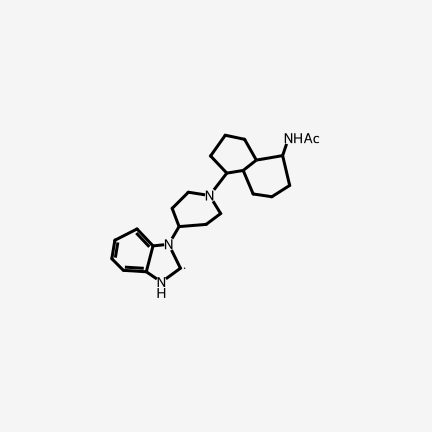 CC(=O)NC1CCCC2C1CCCC2N1CCC(N2[CH]Nc3ccccc32)CC1